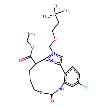 CCOC(=O)C1CCCCC(=O)Nc2cc(F)ccc2-c2cn(COCC[Si](C)(C)C)c1n2